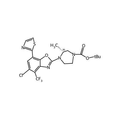 C[C@@H]1CN(C(=O)OC(C)(C)C)CCN1c1nc2c(C(F)(F)F)c(Cl)cc(-c3nccs3)c2o1